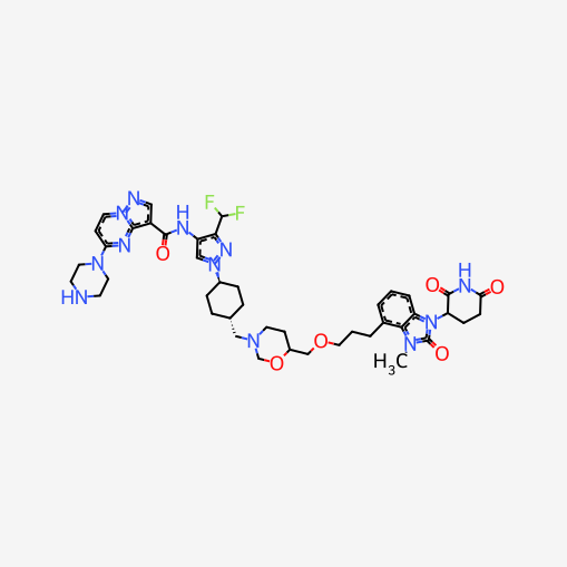 Cn1c(=O)n(C2CCC(=O)NC2=O)c2cccc(CCCOCC3CCN(C[C@H]4CC[C@H](n5cc(NC(=O)c6cnn7ccc(N8CCNCC8)nc67)c(C(F)F)n5)CC4)CO3)c21